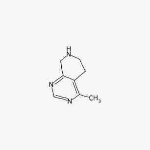 Cc1ncnc2c1CCNC2